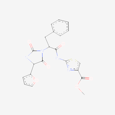 COC(=O)c1csc(NC(=O)C(Cc2ccccc2)N2C(=O)NC(c3ccco3)C2=O)n1